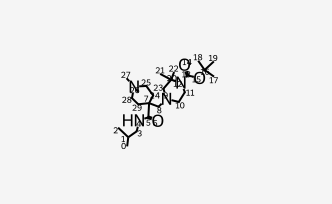 CC(C)CNC(=O)C1(CN2CCN(C(=O)OC(C)(C)C)C(C)(C)C2)CCN(C)CC1